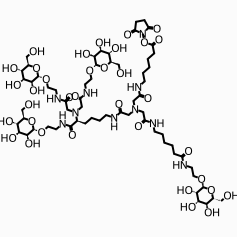 O=C(CCCCCNC(=O)CN(CC(=O)NCCCCCC(=O)ON1C(=O)CCC1=O)CC(=O)NCCCC[C@@H](C(=O)NCCO[C@H]1O[C@H](CO)[C@@H](O)[C@H](O)[C@@H]1O)N(CC(=O)NCCO[C@H]1O[C@H](CO)[C@@H](O)[C@H](O)[C@@H]1O)CC(=O)NCCO[C@H]1O[C@H](CO)[C@@H](O)[C@H](O)[C@@H]1O)NCCO[C@H]1O[C@H](CO)[C@@H](O)[C@H](O)[C@@H]1O